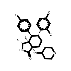 C[C@H]1NC(=O)[C@]2(NC3CCOCC3)CC[C@@H](c3ccc(Cl)cc3Cl)[C@H](c3ccc(Cl)cc3)[C@H]12